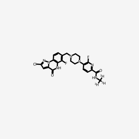 [2H]C([2H])([2H])NC(=O)c1ccc(N2CCN(Cc3ccc4c([nH]c(=O)c5cc(Cl)nn54)c3F)CC2)c(F)n1